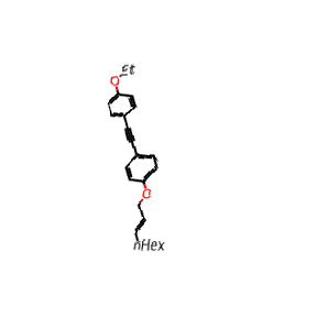 CCCCCCC=CCOc1ccc(C#Cc2ccc(OCC)cc2)cc1